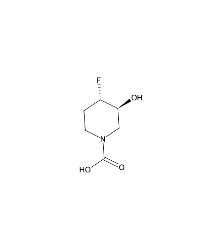 O=C(O)N1CC[C@H](F)[C@@H](O)C1